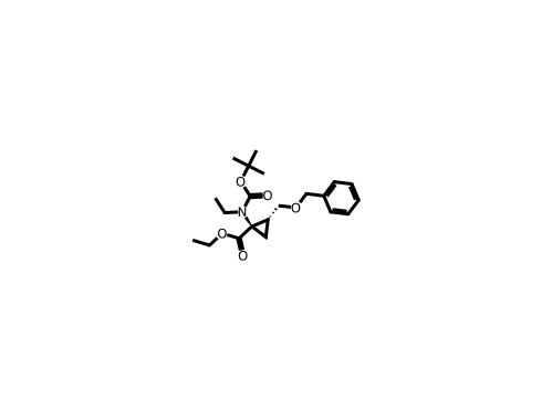 CCOC(=O)[C@@]1(N(CC)C(=O)OC(C)(C)C)C[C@H]1COCc1ccccc1